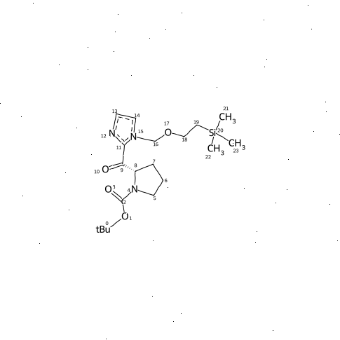 CC(C)(C)OC(=O)N1CCC[C@H]1C(=O)c1nccn1COCC[Si](C)(C)C